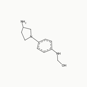 NC1CCN(c2ccc(NCO)cc2)C1